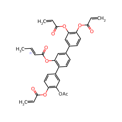 C=CC(=O)Oc1ccc(-c2ccc(-c3ccc(OC(=O)C=C)c(OC(=O)C=C)c3)cc2OC(=O)/C=C/C)cc1OC(C)=O